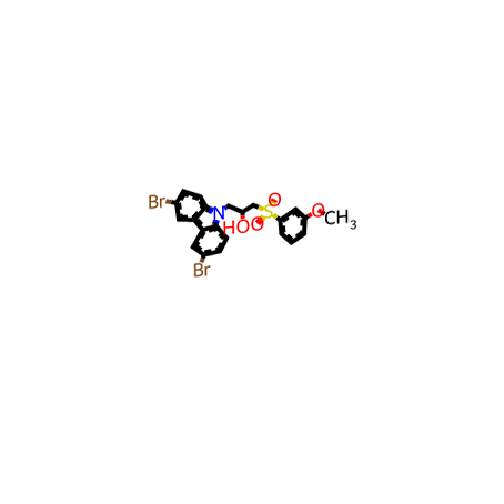 COc1cccc(S(=O)(=O)CC(O)Cn2c3ccc(Br)cc3c3cc(Br)ccc32)c1